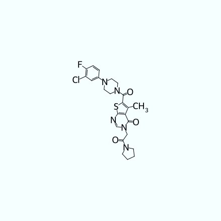 Cc1c(C(=O)N2CCN(c3ccc(F)c(Cl)c3)CC2)sc2ncn(CC(=O)N3CCCC3)c(=O)c12